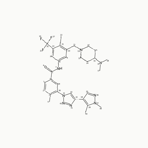 Cc1ccc(C(=O)Nc2cc(CN3CCC(N(C)C)CC3)c(I)c(C(F)(F)F)c2)cc1-n1cc(-c2cnn(C)c2C)nn1